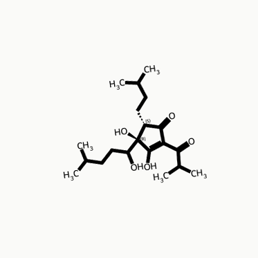 CC(C)CCC(O)[C@@]1(O)C(O)=C(C(=O)C(C)C)C(=O)[C@H]1CCC(C)C